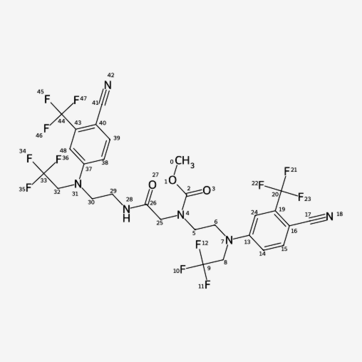 COC(=O)N(CCN(CC(F)(F)F)c1ccc(C#N)c(C(F)(F)F)c1)CC(=O)NCCN(CC(F)(F)F)c1ccc(C#N)c(C(F)(F)F)c1